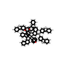 c1ccc(C2(C3(c4ccccc4)c4ccc5ccccc5c4-c4c3cc(N(c3ccc5oc6ccccc6c5c3)c3ccc5oc6ccccc6c5c3)c3ccccc43)c3ccc4ccccc4c3-c3c2cc(N(c2ccc4oc5ccccc5c4c2)c2ccc4oc5ccccc5c4c2)c2ccccc32)cc1